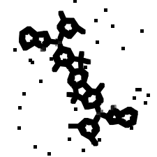 Cc1cc(C)cc(N(c2cc(C)c3c(c2)C(C)(C)c2cc4c(cc2-3)C(C)(C)c2cc(N(c3cc(C)cc(C)c3)c3cc5ccccc5s3)cc(C)c2-4)c2cc3ccccc3s2)c1